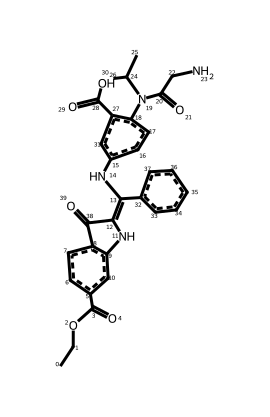 CCOC(=O)c1ccc2c(c1)NC(=C(Nc1ccc(N(C(=O)CN)C(C)C)c(C(=O)O)c1)c1ccccc1)C2=O